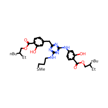 CCCCC(CC)COC(=O)c1ccc(Cc2nc(NCCCSC)nc(Nc3ccc(C(=O)OCC(CC)CCCC)c(O)c3)n2)cc1O